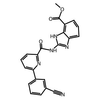 COC(=O)c1cccc2nc(NC(=O)c3cccc(-c4cccc(C#N)c4)n3)[nH]c12